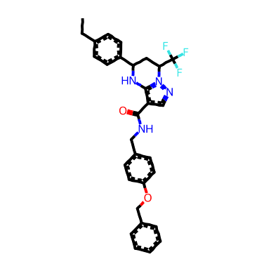 CCc1ccc(C2CC(C(F)(F)F)n3ncc(C(=O)NCc4ccc(OCc5ccccc5)cc4)c3N2)cc1